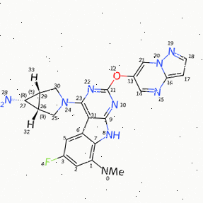 CNc1cc(F)cc2c1[nH]c1nc(Oc3cnc4ccnn4c3)nc(N3C[C@@H]4[C@H](N)[C@@H]4C3)c12